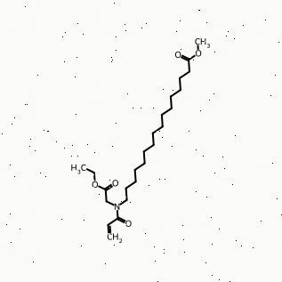 C=CC(=O)N(CCCCCCCCCCCCCCCC(=O)OC)CC(=O)OCC